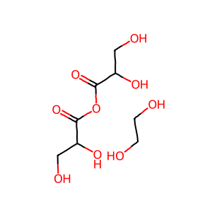 O=C(OC(=O)C(O)CO)C(O)CO.OCCO